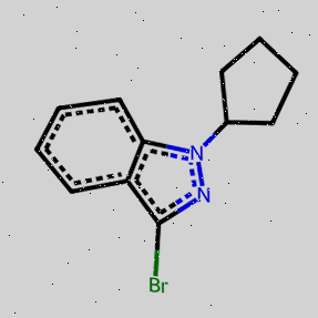 Brc1nn(C2CCCC2)c2ccccc12